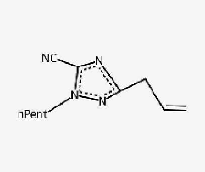 C=CCc1nc(C#N)n(CCCCC)n1